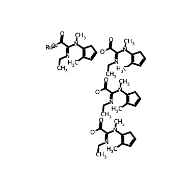 CCN=C(C(=O)[O-])N(C)C1=C(C)C=CC1.CCN=C(C(=O)[O-])N(C)C1=C(C)C=CC1.CCN=C(C(=O)[O-])N(C)C1=C(C)C=CC1.CCN=C(C(=O)[O-])N(C)C1=C(C)C=CC1.[Ru+4]